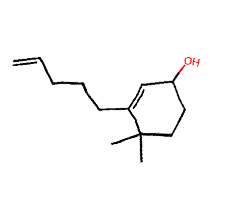 C=CCCCC1=CC(O)CCC1(C)C